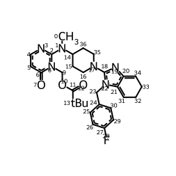 CN(c1nccc(=O)n1COC(=O)C(C)(C)C)C1CCN(c2nc3c(n2Cc2ccc(F)cc2)=CCCC=3)CC1